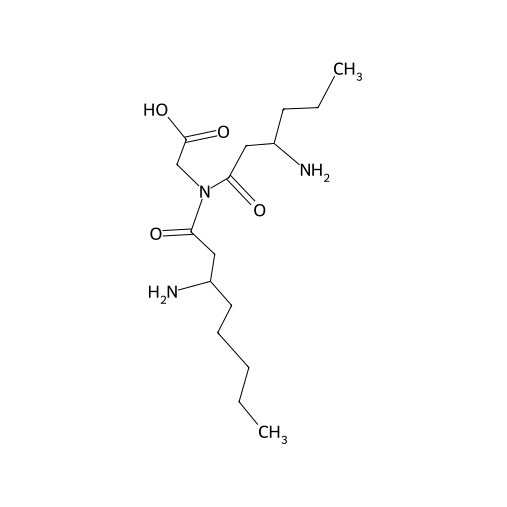 CCCCCC(N)CC(=O)N(CC(=O)O)C(=O)CC(N)CCC